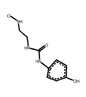 O=C(NCCNCl)Nc1ccc(O)cc1